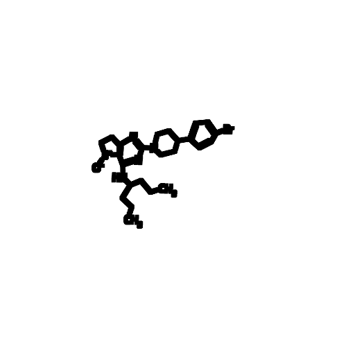 CCCC(CCC)Nc1nc(N2CCC(c3ccc(Br)cc3)CC2)nc2c1[S+]([O-])CC2